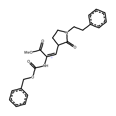 COC(=O)/C(=C\C1CCN(CCc2ccccc2)C1=O)NC(=O)OCc1ccccc1